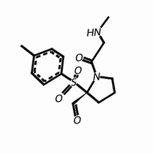 CNCC(=O)N1CCC[C@]1(C=O)S(=O)(=O)c1ccc(C)cc1